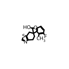 Cc1c(F)cccc1C1(C(=O)O)CCc2ncsc2C1